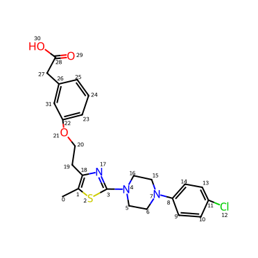 Cc1sc(N2CCN(c3ccc(Cl)cc3)CC2)nc1CCOc1cccc(CC(=O)O)c1